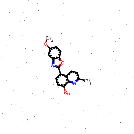 COc1ccc2oc(-c3ccc(O)c4nc(C)ccc34)nc2c1